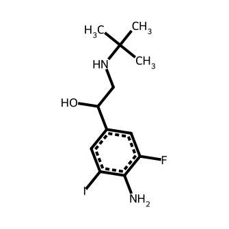 CC(C)(C)NCC(O)c1cc(F)c(N)c(I)c1